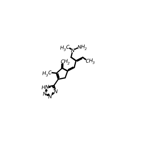 C=C1C(C)=C(c2nnn[nH]2)C/C1=C/C(=C\C)CN(C)N